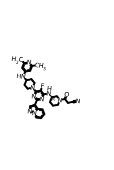 Cc1cc(NC2CCN(c3nc(-c4cnn5ccccc45)nc(N[C@@H]4CCCN(C(=O)CC#N)C4)c3F)CC2)cc(C)n1